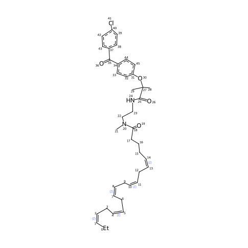 CC/C=C\C/C=C\C/C=C\C/C=C\C/C=C\CCCC(=O)N(C)CCNC(=O)C(C)(C)Oc1ccc(C(=O)c2ccc(Cl)cc2)cc1